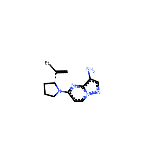 C=C(CC)[C@H]1CCCN1c1ccn2ncc(N)c2n1